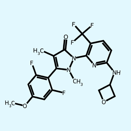 COc1cc(F)c(-c2c(C)c(=O)n(-c3nc(NC4COC4)ccc3C(F)(F)F)n2C)c(F)c1